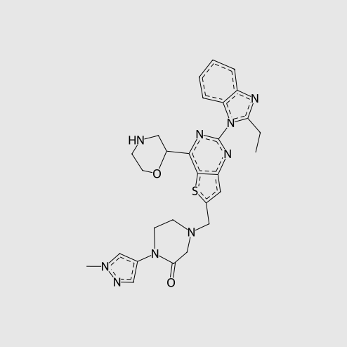 CCc1nc2ccccc2n1-c1nc(C2CNCCO2)c2sc(CN3CCN(c4cnn(C)c4)C(=O)C3)cc2n1